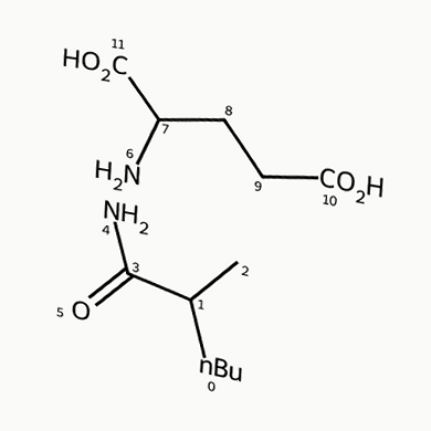 CCCCC(C)C(N)=O.NC(CCC(=O)O)C(=O)O